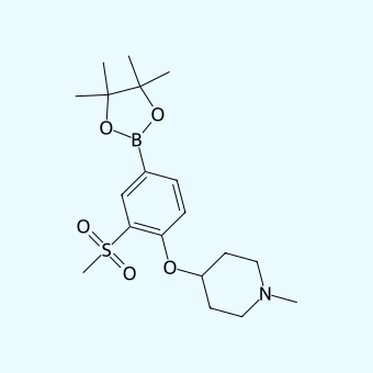 CN1CCC(Oc2ccc(B3OC(C)(C)C(C)(C)O3)cc2S(C)(=O)=O)CC1